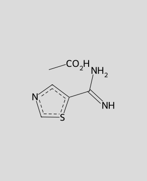 CC(=O)O.N=C(N)c1cncs1